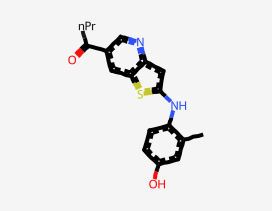 CCCC(=O)c1cnc2cc(Nc3ccc(O)cc3C)sc2c1